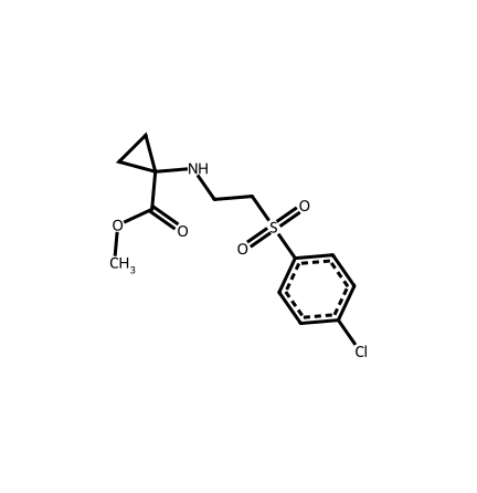 COC(=O)C1(NCCS(=O)(=O)c2ccc(Cl)cc2)CC1